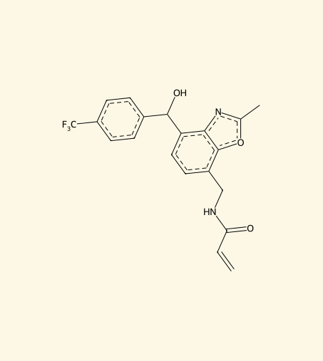 C=CC(=O)NCc1ccc(C(O)c2ccc(C(F)(F)F)cc2)c2nc(C)oc12